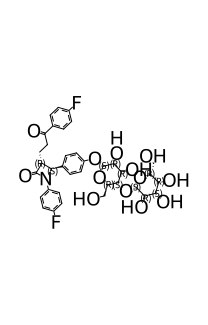 O=C(CC[C@H]1C(=O)N(c2ccc(F)cc2)[C@@H]1c1ccc(O[C@@H]2O[C@H](CO)[C@@H](O[C@@H]3O[C@H](CO)[C@H](O)[C@H](O)[C@H]3O)[C@H](O)[C@H]2O)cc1)c1ccc(F)cc1